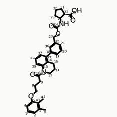 Cc1cccc(OCCCC(=O)N2CCCc3c(-c4cccc(COC(=O)N[C@H]5CCC[C@H]5C(=O)O)c4)cccc32)c1C